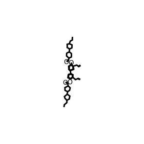 C=CCc1cc(-c2ccc(OC(=O)C3CCC(C4CCC(CCC)CC4)CC3)c(CC=C)c2)ccc1OC(=O)C1CCC(C2CCC(CCC)CC2)CC1